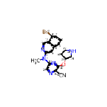 CN(c1cc2cccc(Br)c2cn1)c1cnc(C#N)c(O[C@@H]2CCNC2)n1